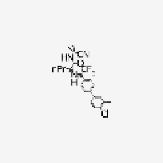 CCC[C@H](N[C@@H](c1ccc(-c2ccc(Cl)c(C)c2)cc1)C(F)(F)F)C(=O)NC1(C#N)CC1